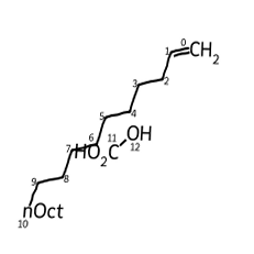 C=CCCCCCCCCCCCCCCCC.O=C(O)O